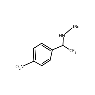 CC(C)(C)NC(c1ccc([N+](=O)[O-])cc1)C(F)(F)F